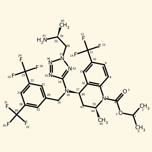 CC(C)OC(=O)N1c2ccc(C(F)(F)F)cc2[C@H](N(Cc2cc(C(F)(F)F)cc(C(F)(F)F)c2)c2nnn(C[C@H](C)N)n2)C[C@@H]1C